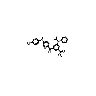 COC(=O)c1cc(C(=O)c2ccc(N(C)c3ccc(Cl)cc3)cn2)cc(N(C(C)=O)c2ccccc2)c1